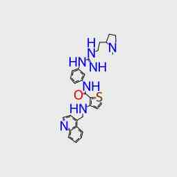 CN1CCCC1CCNC(=N)Nc1cccc(NC(=O)c2sccc2NCc2ccnc3ccccc23)c1